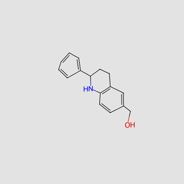 OCc1ccc2c(c1)CCC(c1ccccc1)N2